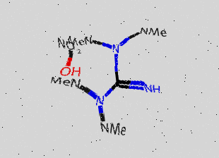 CNN(NC)C(=N)N(NC)NC.O=[N+]([O-])O